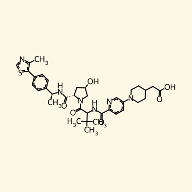 Cc1ncsc1-c1ccc([C@H](C)NC(=O)[C@@H]2C[C@@H](O)CN2C(=O)C(NC(=O)c2ccc(N3CCC(CC(=O)O)CC3)cn2)C(C)(C)C)cc1